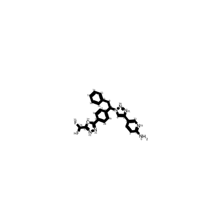 Nc1ccc(-c2cn(C(Cc3ccccc3)c3ccc(-c4nnc(C(F)F)o4)cc3)nn2)cn1